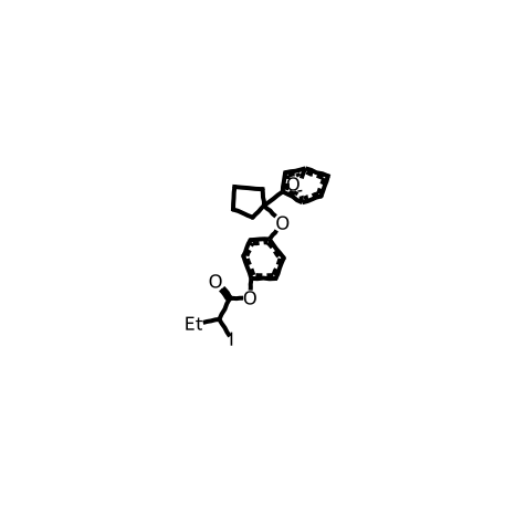 CCC(I)C(=O)Oc1ccc(OC2(c3cc4ccc3o4)CCCC2)cc1